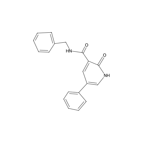 O=C(NCc1ccccc1)c1cc(-c2ccccc2)c[nH]c1=O